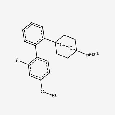 CCCCCC12CCC(c3ccccc3-c3ccc(OCC)cc3F)(CC1)CC2